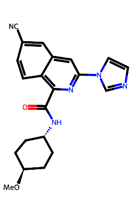 CO[C@H]1CC[C@H](NC(=O)c2nc(-n3ccnc3)cc3cc(C#N)ccc23)CC1